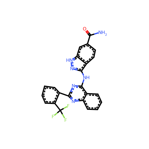 NC(=O)c1ccc2c(Nc3nc(-c4ccccc4C(F)(F)F)nc4ccccc34)n[nH]c2c1